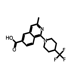 Cc1cc2cc(C(=O)O)ccc2c(N2CCC(C(F)(F)F)CC2)n1